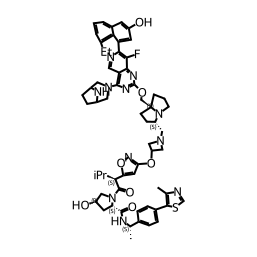 CCc1cccc2cc(O)cc(-c3ncc4c(N5CC6CCC(C5)N6)nc(OC[C@@]56CCCN5[C@H](CN5CC(Oc7cc([C@@H](C(=O)N8C[C@H](O)C[C@H]8C(=O)N[C@@H](C)c8ccc(-c9scnc9C)cc8)C(C)C)on7)C5)CC6)nc4c3F)c12